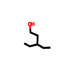 CCC(CC)CCO